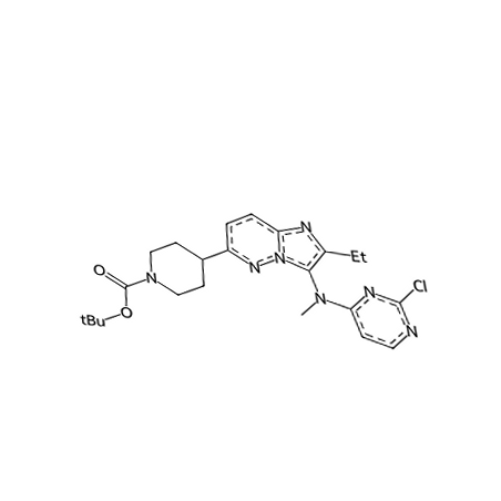 CCc1nc2ccc(C3CCN(C(=O)OC(C)(C)C)CC3)nn2c1N(C)c1ccnc(Cl)n1